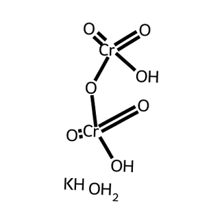 O.[KH].[O]=[Cr](=[O])([OH])[O][Cr](=[O])(=[O])[OH]